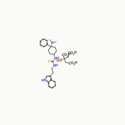 CN(C)C1(c2ccccc2)CCC(NC(=S)NCCc2c[nH]c3ccccc23)CC1.O=C(O)CC(O)(CC(=O)O)C(=O)O